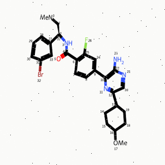 CNC[C@@H](NC(=O)c1ccc(-c2nc(C3CCC(OC)CC3)cnc2N)cc1F)c1cccc(Br)c1